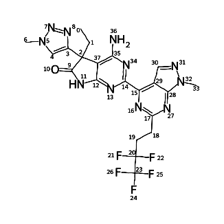 CCC1(c2cn(C)nn2)C(=O)Nc2nc(-c3nc(CCC(F)(F)C(F)(F)F)nc4c3cnn4C)nc(N)c21